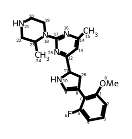 COc1cccc(F)c1C1=CNC(c2cc(C)nc(N3CCNCC3C)n2)C1